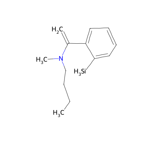 C=C(c1ccccc1[SiH3])N(C)CCCC